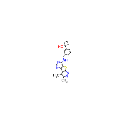 Cc1nnc2sc3c(NCc4cccc(C5(O)CCC5)c4)ncnc3c2c1C